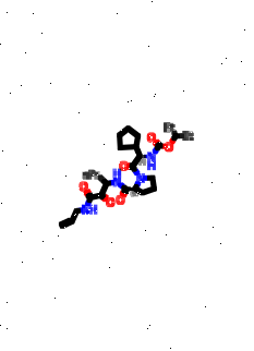 C=CCNC(=O)C(=O)C(CCC)NC(=O)[C@@H]1CCCN1C(=O)[C@@H](NC(=O)OC(CC)CC)C1CCCC1